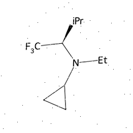 CCN(C1CC1)[C@H](C(C)C)C(F)(F)F